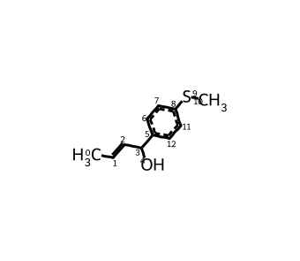 C/C=C/C(O)c1ccc(SC)cc1